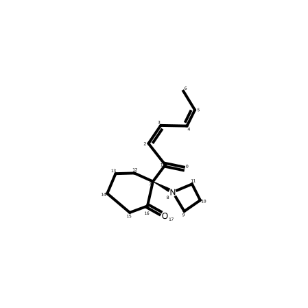 C=C(/C=C\C=C/C)[C@@]1(N2CCC2)CCCCC1=O